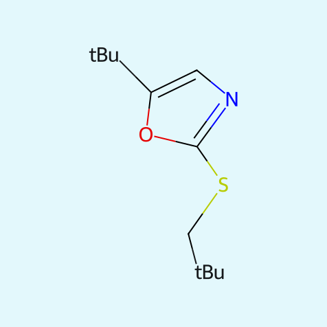 CC(C)(C)CSc1ncc(C(C)(C)C)o1